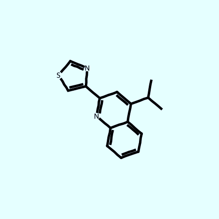 CC(C)c1cc(-c2cscn2)nc2ccccc12